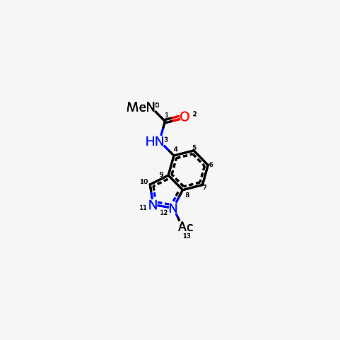 CNC(=O)Nc1cccc2c1cnn2C(C)=O